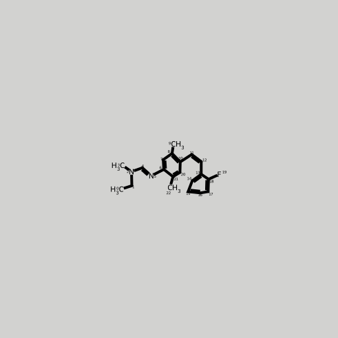 CCN(C)C=Nc1cc(C)c(/C=C\c2ccccc2F)cc1C